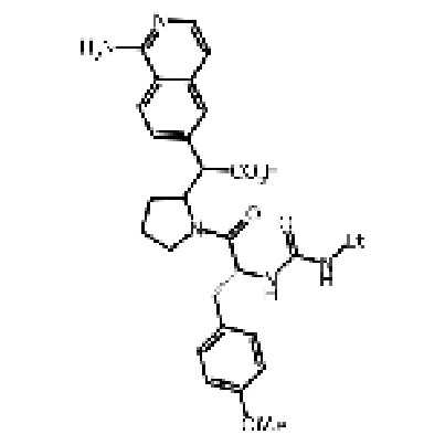 CCNC(=O)N[C@H](Cc1ccc(OC)cc1)C(=O)N1CCCC1C(C(=O)O)c1ccc2c(N)nccc2c1